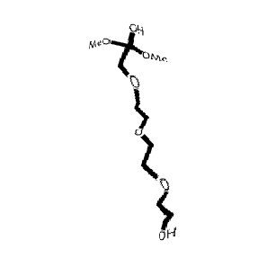 COC(O)(COCCOCCOCCO)OC